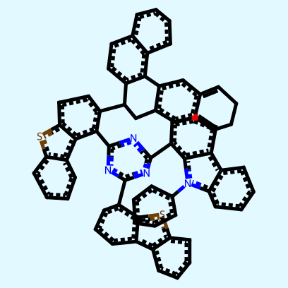 C1=c2cc3c(cc2=CCC1)-c1c(ccc2ccccc12)C(c1ccc2sc4ccccc4c2c1-c1nc(-c2cccc4c2sc2ccccc24)nc(-c2cccc4c5ccccc5n(-c5ccccc5)c24)n1)C3